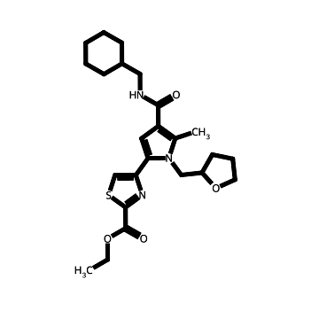 CCOC(=O)c1nc(-c2cc(C(=O)NCC3CCCCC3)c(C)n2CC2CCCO2)cs1